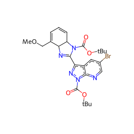 COCC1=CC=CC2C1N=C(c1nn(C(=O)OC(C)(C)C)c3ncc(Br)cc13)N2C(=O)OC(C)(C)C